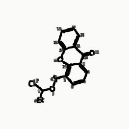 CCC(Cl)OSc1cccc2c(=O)c3ccccc3oc12